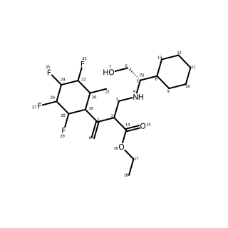 C=C(C(CN[C@H](CO)C1CCCCC1)C(=O)OCC)C1C(C)C(F)C(F)C(F)C1F